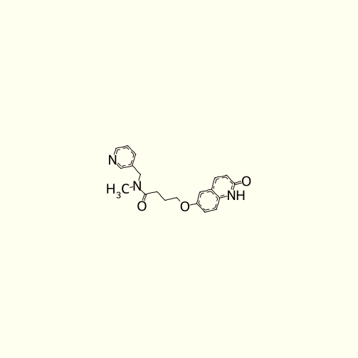 CN(Cc1cccnc1)C(=O)CCCOc1ccc2[nH]c(=O)ccc2c1